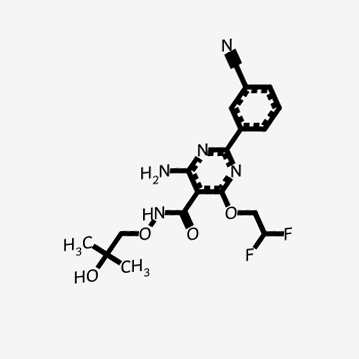 CC(C)(O)CONC(=O)c1c(N)nc(-c2cccc(C#N)c2)nc1OCC(F)F